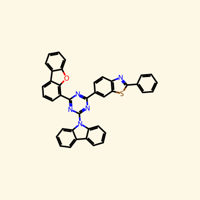 c1ccc(-c2nc3ccc(-c4nc(-c5cccc6c5oc5ccccc56)nc(-n5c6ccccc6c6ccccc65)n4)cc3s2)cc1